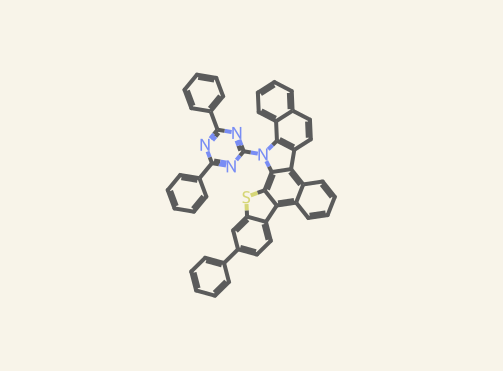 c1ccc(-c2ccc3c(c2)sc2c3c3ccccc3c3c4ccc5ccccc5c4n(-c4nc(-c5ccccc5)nc(-c5ccccc5)n4)c23)cc1